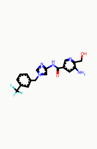 Nc1cc(C(=O)Nc2cn(Cc3cccc(C(F)(F)F)c3)cn2)cnc1CO